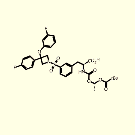 C[C@H](OC(=O)N[C@@H](Cc1cccc(S(=O)(=O)N2CC(Oc3cccc(F)c3)(c3ccc(F)cc3)C2)c1)C(=O)O)OC(=O)C(C)(C)C